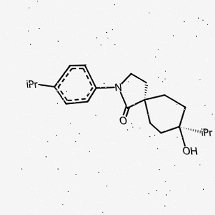 CC(C)c1ccc(N2CC[C@]3(CC[C@@](O)(C(C)C)CC3)C2=O)cc1